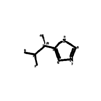 CC(C)[C@H](C)c1cncs1